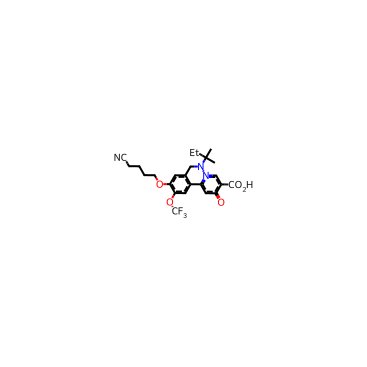 CCC(C)(C)N1Cc2cc(OCCCCC#N)c(OC(F)(F)F)cc2-c2cc(=O)c(C(=O)O)cn21